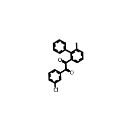 Cc1cccc(C(=O)C(=O)c2cccc(Cl)c2)c1-c1ccccc1